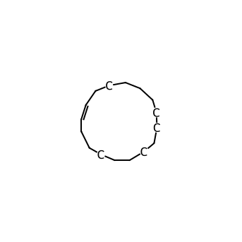 C1=CCCCCCCCCCCCCCC1